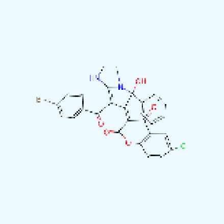 O=C1Oc2ccc(Cl)cc2C(=O)/C1=C1/C(C(=O)c2ccc(Br)cc2)=C2NCCN2C1(O)c1ccccc1